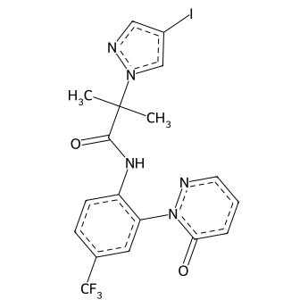 CC(C)(C(=O)Nc1ccc(C(F)(F)F)cc1-n1ncccc1=O)n1cc(I)cn1